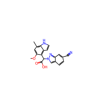 COc1cc(C)c2[nH]ccc2c1C(C(=O)O)n1cc2ccc(C#N)cc2n1